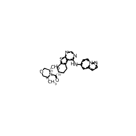 C[C@@H]1COC[C@H](C)N1C(=O)[C@H]1CCc2c(sc3ncnc(Nc4ccn5nccc5c4)c23)C1